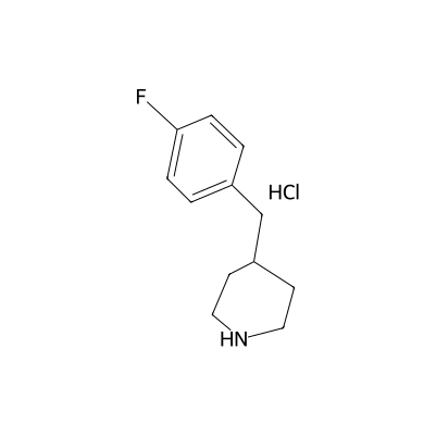 Cl.Fc1ccc(CC2CCNCC2)cc1